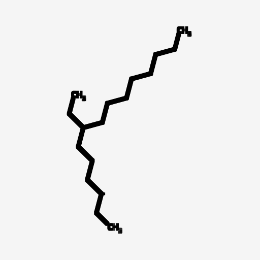 CC[CH]CCCC(CC)CCCCCCCC